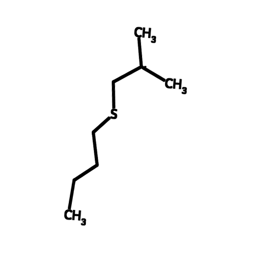 CCCCSC[C](C)C